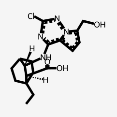 CCC12CCC(CC1)[C@H](Nc1nc(Cl)nn3c(CO)ccc13)[C@H]2C(=O)O